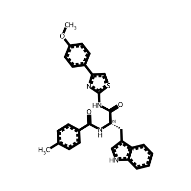 COc1ccc(-c2csc(NC(=O)[C@H](Cc3c[nH]c4ccccc34)NC(=O)c3ccc(C)cc3)n2)cc1